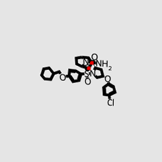 NC1CC2CCC(C1)N2C(=O)[C@@H]1C[C@H](Oc2ccc(Cl)cc2)CN1S(=O)(=O)c1ccc(OCC2CCCCC2)cc1